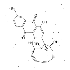 CCc1ccc2c(c1)C(=O)c1c(O)cc3c(c1C2=O)N[C@H]1C#C/C=C\C#C[C@H](O)[C@@]32O[C@@]12C(C)C